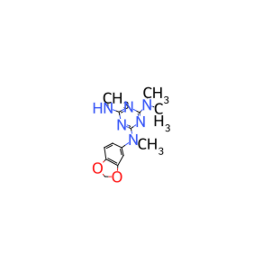 CNc1nc(N(C)C)nc(N(C)c2ccc3c(c2)OCO3)n1